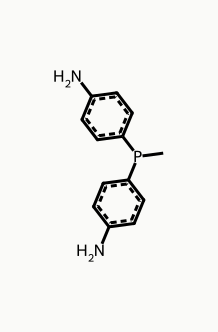 CP(c1ccc(N)cc1)c1ccc(N)cc1